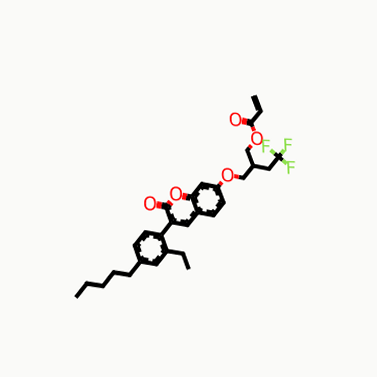 C=CC(=O)OCC(COc1ccc2cc(-c3ccc(CCCCC)cc3CC)c(=O)oc2c1)CC(F)(F)F